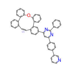 C1=C\c2ccc(-c3cc(-c4ccc(-c5cccnc5)cc4)nc(-c4ccccc4)n3)cc2-c2ccccc2Oc2ccccc2-c2ccccc2/1